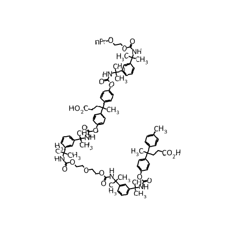 CCCOCCOC(=O)NC(C)(C)c1cccc(C(C)(C)NC(=O)Oc2ccc(C(C)(CCC(=O)O)c3ccc(OC(=O)NC(C)(C)c4cccc(C(C)(C)NC(=O)OCCOCCOC(=O)NC(C)(C)c5cccc(C(C)(C)NC(=O)Oc6ccc(C(C)(CCC(=O)O)c7ccc(C)cc7)cc6)c5)c4)cc3)cc2)c1